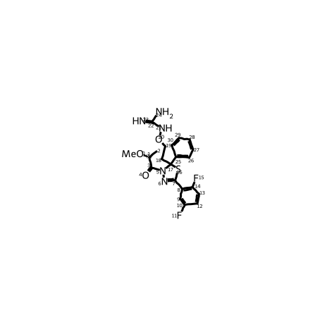 CO[C@@H](C)C(=O)N1N=C(c2cc(F)ccc2F)SC1(CCONC(=N)N)c1ccccc1